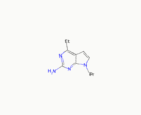 CCc1nc(N)nc2c1ccn2C(C)C